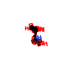 CCC(CC)SC(CC(=O)O)C(=O)NCC(=O)N[C@@H](CCC(=O)O)C(=O)Nc1cccc(Cc2ccc([C@@H]3O[C@@H]4CC5[C@@H]6CCC7=CC(=O)C=C[C@]7(C)[C@H]6[C@@H](O)C[C@]5(C)[C@]4(C(=O)COP(=O)(O)O)O3)cc2)c1